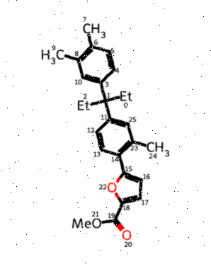 CCC(CC)(c1ccc(C)c(C)c1)c1ccc(-c2ccc(C(=O)OC)o2)c(C)c1